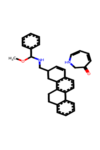 COC(NCC1C=Cc2ccc3c(c2C1)CCc1ccccc1-3)c1ccccc1.O=C1C=CC=CNC1